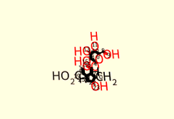 C=C1[C@H]2[C@H](O[C@@H]3O[C@H](CO)[C@@H](O)[C@H](O)[C@H]3O)OC=C(C(=O)O)[C@H]2C[C@@H]1O